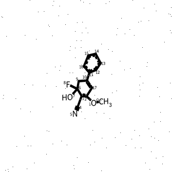 COC1=C(C#N)C(O)(F)CC(c2ccccc2)=C1